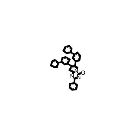 O=c1nc(-c2ccccc2)nc2cc(-c3cccc(-c4ccccc4)c3)c(-c3cccc(-c4ccccc4)c3)cn12